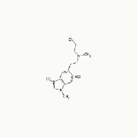 CN(CCCl)CCc1ccc2c(c1)[S+]([O-])CN2C.Cl